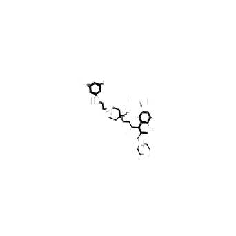 COc1ccc2ncc(CN3CCOCC3)c(C(O)CCC3(CO)CCN(CCNc4cc(F)cc(F)c4)CC3)c2c1